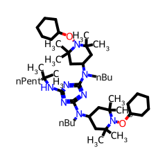 CCCCCC(C)(C)Nc1nc(N(CCCC)C2CC(C)(C)N(OC3CCCCC3)C(C)(C)C2)nc(N(CCCC)C2CC(C)(C)N(OC3CCCCC3)C(C)(C)C2)n1